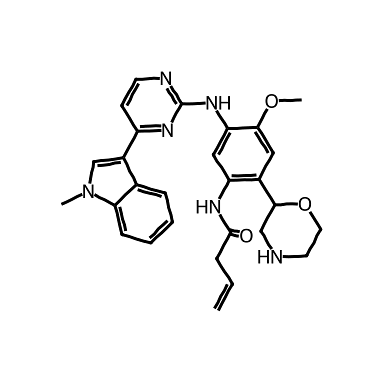 C=CCC(=O)Nc1cc(Nc2nccc(-c3cn(C)c4ccccc34)n2)c(OC)cc1C1CNCCO1